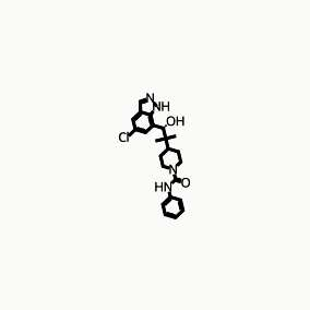 CC(C)(C1CCN(C(=O)Nc2ccccc2)CC1)[C@@H](O)c1cc(Cl)cc2cn[nH]c12